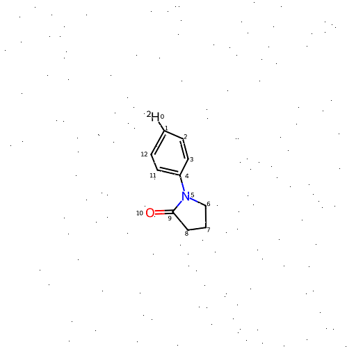 [2H]c1ccc(N2CCCC2=O)cc1